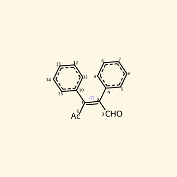 CC(=O)/C(=C(\C=O)c1ccccc1)c1ccccc1